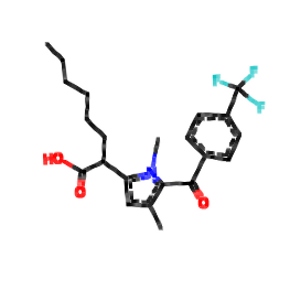 CCCCCCC(C(=O)O)c1cc(C)c(C(=O)c2ccc(C(F)(F)F)cc2)n1C